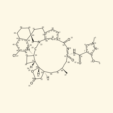 COc1nn(C)cc1C(=O)N[S@@]1(=O)=NC(=O)c2ccc3c(c2)N(C[C@@H]2CC[C@H]2[C@H]2OC(=O)C[C@@H]2CC[C@H](C)C1)C[C@@]1(CCCc2cc(Cl)ccc21)CC3